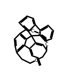 C=C/C=C1\C(=C/C)C2(c3ccccc3-c3ccccc32)c2c3ccc(c21)CCCCCCCCCC3